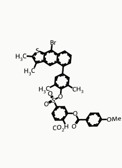 COc1ccc(C(=O)Oc2cc(S(=O)(=O)Oc3c(C)cc(-c4cccc5c(Br)c6sc(C)c(C)c6cc45)cc3C)ccc2C(=O)O)cc1